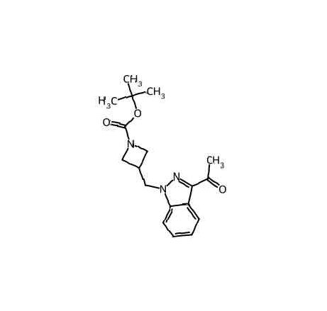 CC(=O)c1nn(CC2CN(C(=O)OC(C)(C)C)C2)c2ccccc12